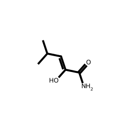 CC(C)C=C(O)C(N)=O